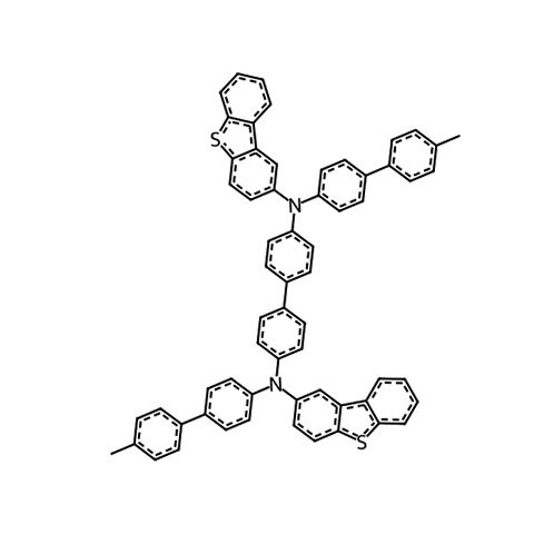 Cc1ccc(-c2ccc(N(c3ccc(-c4ccc(N(c5ccc(-c6ccc(C)cc6)cc5)c5ccc6sc7ccccc7c6c5)cc4)cc3)c3ccc4sc5ccccc5c4c3)cc2)cc1